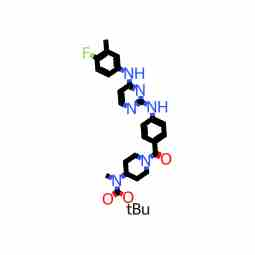 Cc1cc(Nc2ccnc(Nc3ccc(C(=O)N4CCC(N(C)C(=O)OC(C)(C)C)CC4)cc3)n2)ccc1F